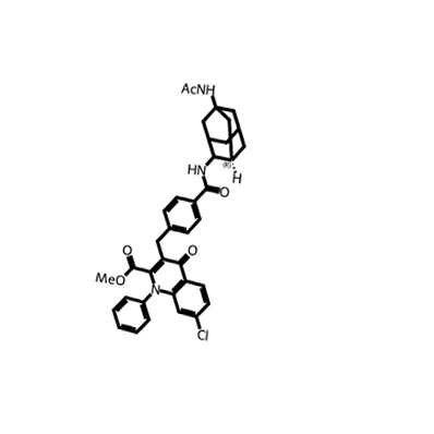 COC(=O)c1c(Cc2ccc(C(=O)NC3C4CC5C[C@@H]3CC(NC(C)=O)(C5)C4)cc2)c(=O)c2ccc(Cl)cc2n1-c1ccccc1